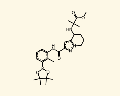 COC(=O)C(C)(C)NC1CCCn2nc(C(=O)Nc3cccc(B4OC(C)(C)C(C)(C)O4)c3C)cc21